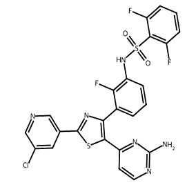 Nc1nccc(-c2sc(-c3cncc(Cl)c3)nc2-c2cccc(NS(=O)(=O)c3c(F)cccc3F)c2F)n1